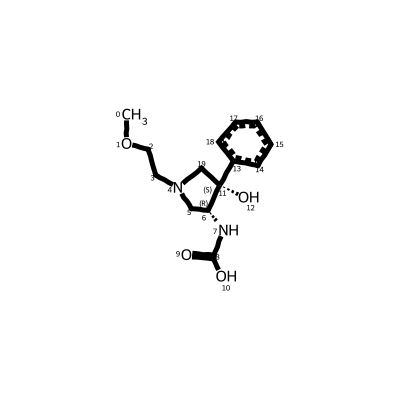 COCCN1C[C@@H](NC(=O)O)[C@](O)(c2ccccc2)C1